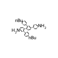 CCCCc1ccc(-c2cc(N)ccc2-c2ccc(-c3ccc(N)cc3)cc2-c2ccc(CCCC)cc2)cc1